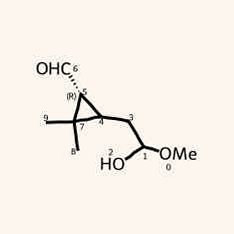 COC(O)CC1[C@@H](C=O)C1(C)C